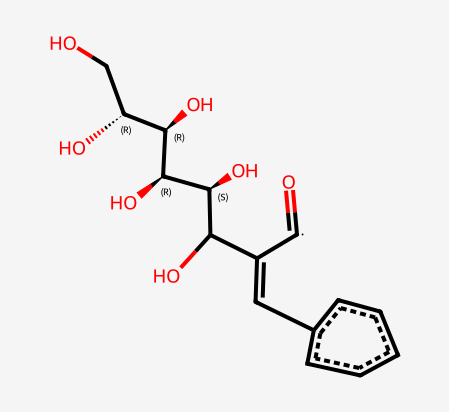 O=[C]C(=Cc1ccccc1)C(O)[C@H](O)[C@@H](O)[C@H](O)[C@H](O)CO